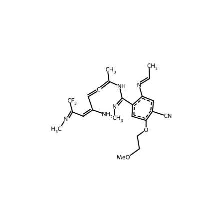 C/C=N/c1cc(C#N)c(OCCOC)cc1/C(=N\C)NC(C)=C=C/C(N)=C\C(=N/C)C(F)(F)F